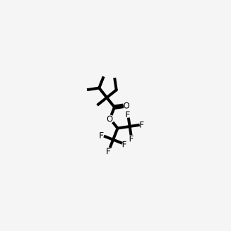 CCC(C)(C(=O)OC(C(F)(F)F)C(F)(F)F)C(C)C